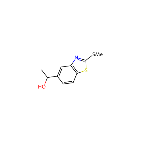 CSc1nc2cc(C(C)O)ccc2s1